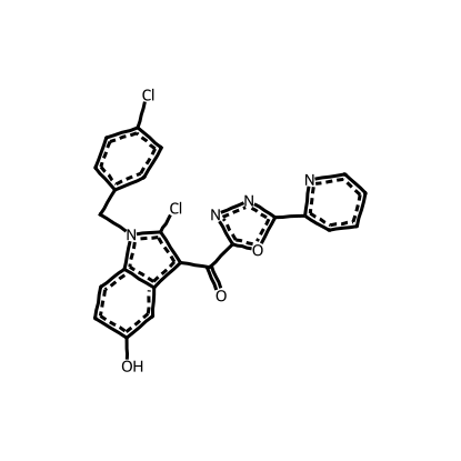 O=C(c1nnc(-c2ccccn2)o1)c1c(Cl)n(Cc2ccc(Cl)cc2)c2ccc(O)cc12